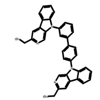 CC(C)(C)Cc1cc2c3ccccc3n(-c3ccc(-c4cccc(-n5c6ccccc6c6cc(CC(C)(C)C)ncc65)c4)cc3)c2cn1